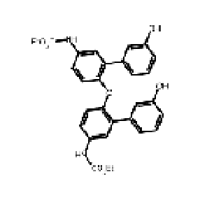 CCOC(=O)Nc1ccc(Oc2ccc(NC(=O)OCC)cc2-c2cccc(O)c2)c(-c2cccc(O)c2)c1